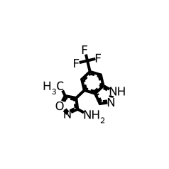 Cc1onc(N)c1-c1cc(C(F)(F)F)cc2[nH]ncc12